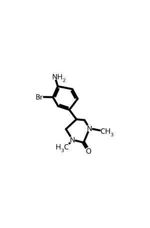 CN1CC(c2ccc(N)c(Br)c2)CN(C)C1=O